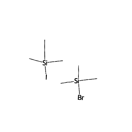 C[Si](C)(C)Br.C[Si](C)(C)I